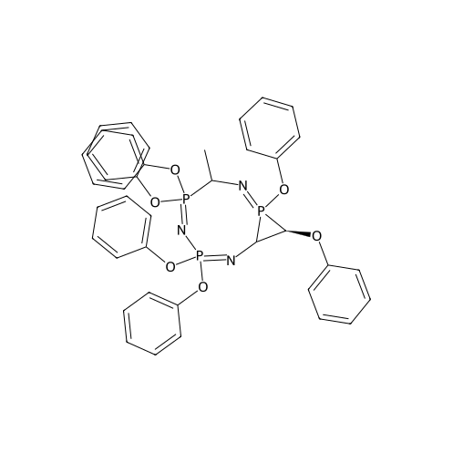 CC1N=P2(Oc3ccccc3)C(N=P(Oc3ccccc3)(Oc3ccccc3)N=P1(Oc1ccccc1)Oc1ccccc1)[C@@H]2Oc1ccccc1